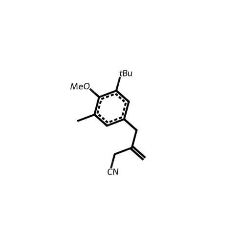 C=C(CC#N)Cc1cc(C)c(OC)c(C(C)(C)C)c1